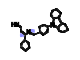 N=C/C=C(\N=C\c1ccc(-n2c3ccccc3c3ccccc32)cc1)c1ccccc1